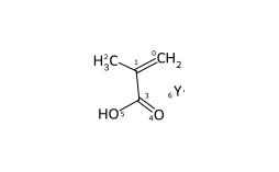 C=C(C)C(=O)O.[Y]